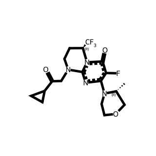 C[C@@H]1COCCN1c1nc2n(c(=O)c1F)[C@@H](C(F)(F)F)CCN2CC(=O)C1CC1